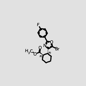 COC(=O)[C@@H]1CCCC[C@H]1c1nc(-c2ccc(F)cc2)oc1Br